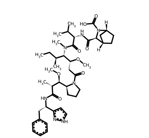 CC[C@H](C)[C@@H]([C@@H](CC(=O)N1CCC[C@H]1[C@H](OC)[C@@H](C)C(=O)N[C@@H](Cc1ccccc1)c1cc[nH]n1)OC)N(C)C(=O)[C@@H](NC(=O)[C@@H]1[C@H]2CC[C@H](C2)N1C(=O)O)C(C)C